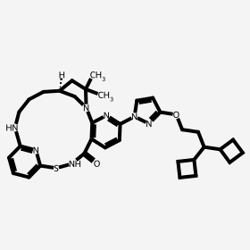 CC1(C)C[C@@H]2CCCNc3cccc(n3)SNC(=O)c3ccc(-n4ccc(OCCC(C5CCC5)C5CCC5)n4)nc3N1C2